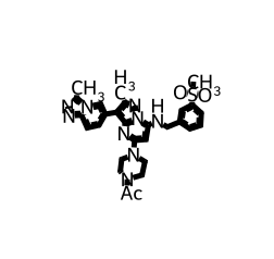 CC(=O)N1CCN(c2cc(NCc3cccc(S(C)(=O)=O)c3)n3nc(C)c(-c4ccc5nnc(C)n5c4)c3n2)CC1